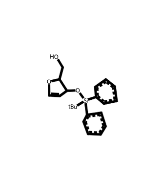 CC(C)(C)[Si](OC1C=COC1CO)(c1ccccc1)c1ccccc1